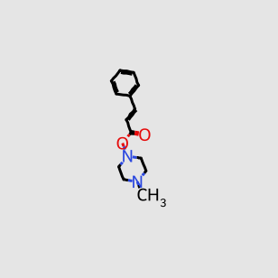 CN1CCN(OC(=O)C=Cc2ccccc2)CC1